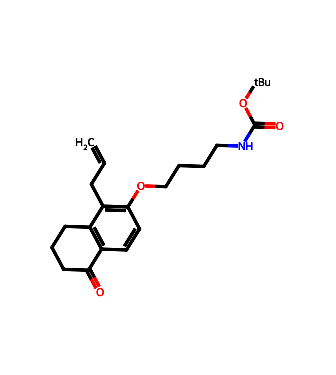 C=CCc1c(OCCCCNC(=O)OC(C)(C)C)ccc2c1CCCC2=O